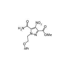 CCCOCCn1nc(C(=O)OC)c([N+](=O)[O-])c1C(N)=O